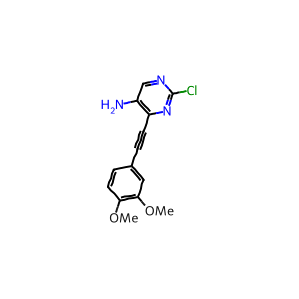 COc1ccc(C#Cc2nc(Cl)ncc2N)cc1OC